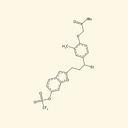 CCC(CCc1cc2ccc(OS(=O)(=O)C(F)(F)F)cc2o1)c1ccc(OCC(=O)C(C)(C)C)c(C)c1